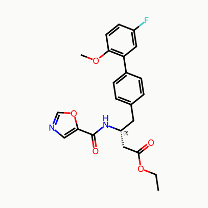 CCOC(=O)C[C@@H](Cc1ccc(-c2cc(F)ccc2OC)cc1)NC(=O)c1cnco1